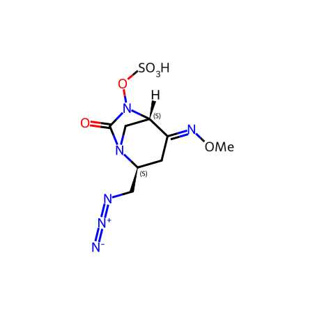 CON=C1C[C@@H](CN=[N+]=[N-])N2C[C@@H]1N(OS(=O)(=O)O)C2=O